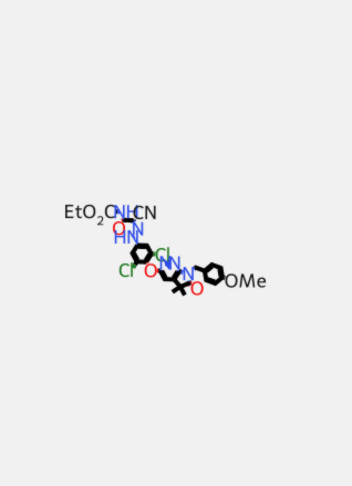 CCOC(=O)NC(=O)/C(C#N)=N\Nc1cc(Cl)c(Oc2cc3c(nn2)N(Cc2ccc(OC)cc2)C(=O)C3(C)C)c(Cl)c1